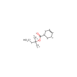 O=C(O)CC(OC(=O)C1CC=CCC1)(C(F)(F)F)C(F)(F)F